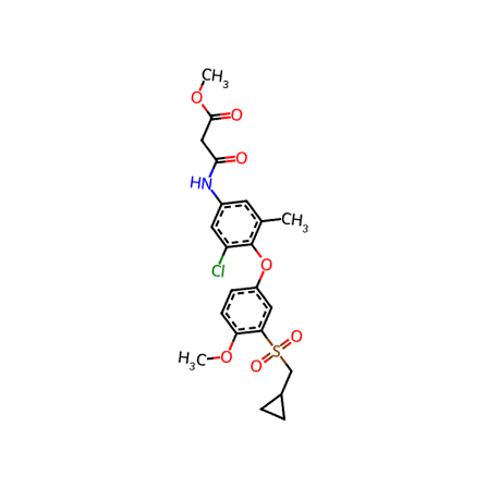 COC(=O)CC(=O)Nc1cc(C)c(Oc2ccc(OC)c(S(=O)(=O)CC3CC3)c2)c(Cl)c1